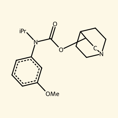 COc1cccc(N(C(=O)OC2CN3CCC2CC3)C(C)C)c1